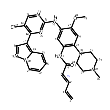 C=C/C=C/C(=O)Nc1cc(Nc2ncc(Cl)c(-c3cnn4ccccc34)n2)c(OC)cc1N1CCN(C)CC1